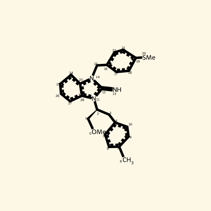 COC[C@H](Cc1ccc(C)cc1)n1c(=N)n(Cc2ccc(SC)cc2)c2ccccc21